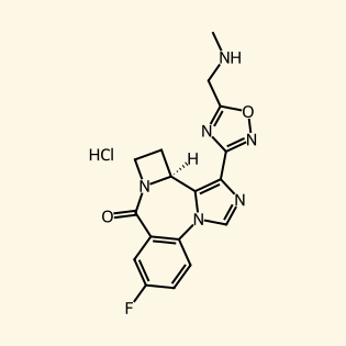 CNCc1nc(-c2ncn3c2[C@@H]2CCN2C(=O)c2cc(F)ccc2-3)no1.Cl